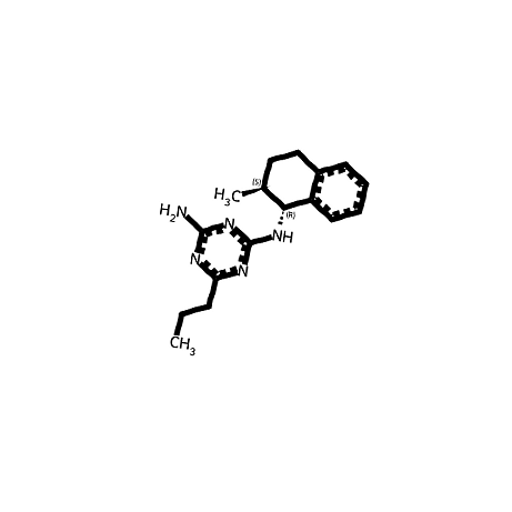 CCCc1nc(N)nc(N[C@H]2c3ccccc3CC[C@@H]2C)n1